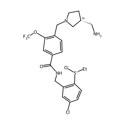 CC[S+]([O-])c1ccc(Cl)cc1CNC(=O)c1ccc(CN2CC[C@H](CN)C2)c(OC(F)(F)F)c1